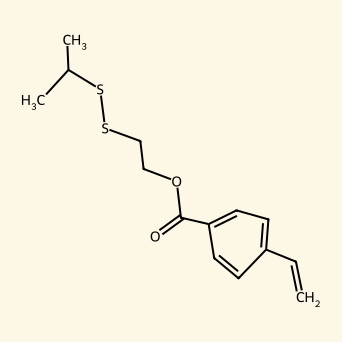 C=Cc1ccc(C(=O)OCCSSC(C)C)cc1